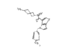 [2H]C1CC2(C1)CC(NC(=O)c1csc3ccn(Cc4ccc(C(F)(F)F)cc4)c13)C2